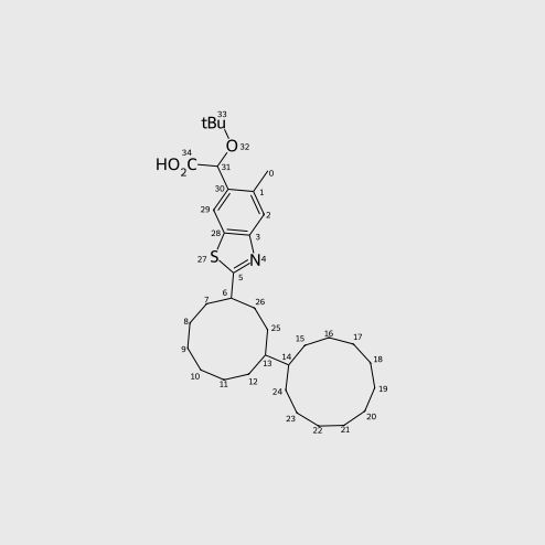 Cc1cc2nc(C3CCCCCCC(C4CCCCCCCCCC4)CC3)sc2cc1C(OC(C)(C)C)C(=O)O